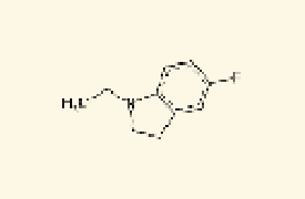 CCN1CCc2cc(F)ccc21